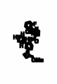 COCC1CCN1c1ccc(NC(=O)c2ccnc(-c3c(F)cccc3OC)n2)c(N2C[C@@H]3C[C@H]2CN3)c1